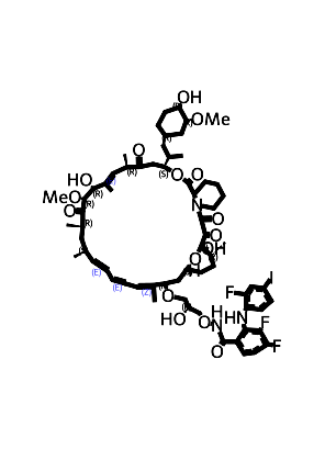 CO[C@@H]1C[C@@H](CC(C)[C@@H]2CC(=O)[C@H](C)/C=C(\C)[C@@H](O)[C@@H](OC)C(=O)[C@H](C)C[C@H](C)/C=C/C=C/C=C(/C)[C@H](OC[C@@H](O)CONC(=O)c3ccc(F)c(F)c3Nc3ccc(I)cc3F)C[C@@H]3CC[C@@H](C)[C@@](O)(O3)C(=O)C(=O)N3CCCCC3C(=O)O2)CC[C@H]1O